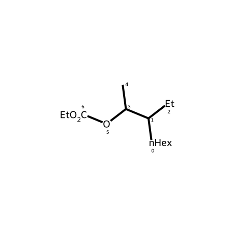 CCCCCCC(CC)C(C)OC(=O)OCC